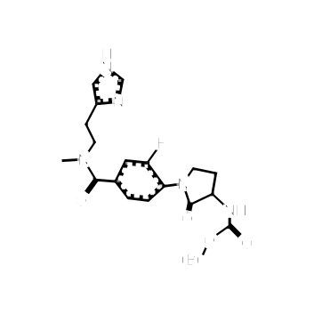 CN(CCc1c[nH]cn1)C(=O)c1ccc(N2CCC(NC(=O)OC(C)(C)C)C2=O)c(F)c1